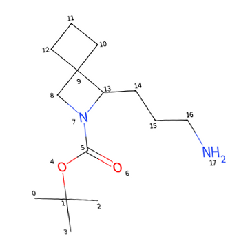 CC(C)(C)OC(=O)N1CC2(CCC2)C1CCCN